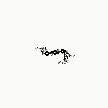 CCCN(C)Cc1nc2ccc(-c3cc4cc5sc(-c6ccc7nc(CN(CCC)C(=O)CNC(=O)OC)[nH]c7c6)cc5cc4s3)cc2[nH]1